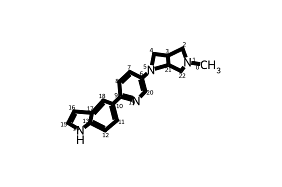 CN1CC2CN(c3ccc(-c4ccc5[nH]ccc5c4)nc3)C2C1